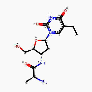 CCc1cn([C@H]2C[C@H](NC(=O)[C@H](C)N)[C@@H](CO)O2)c(=O)[nH]c1=O